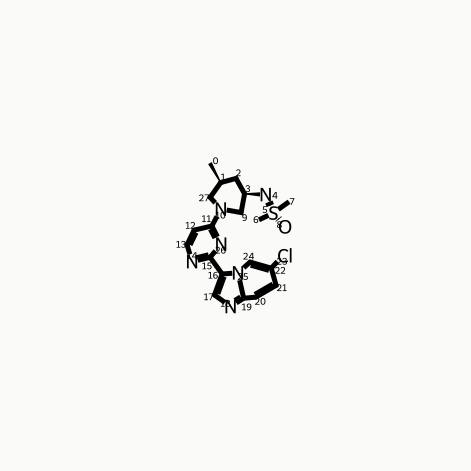 C[C@H]1C[C@@H](N=S(C)(C)=O)CN(c2ccnc(-c3cnc4ccc(Cl)cn34)n2)C1